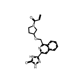 C=CC(=O)N1CCC(OCc2nc(-c3n[nH]c(=O)[nH]3)cc3ccccc23)C1